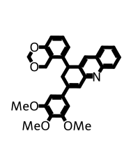 COc1cc(C2=Cc3nc4ccccc4cc3C(c3cccc4c3COCO4)C2)cc(OC)c1OC